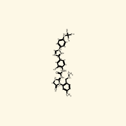 COCc1ccc(C)cc1N1C(=O)CSC1=NC(=O)Nc1ccc(-c2ncn(-c3ccc(OC(F)(F)F)cc3)n2)cc1F